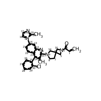 C=CC(=O)N1CC2(CCN(c3nc4cc(-n5ccnc5C)ccc4c(-c4ccccc4Cl)c3C)C2)C1